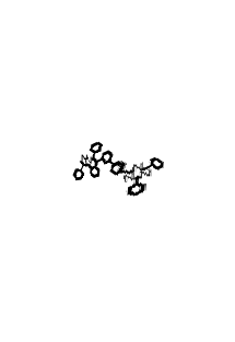 c1ccc(-c2nc(-c3ccccc3)nc(-c3ccc(-c4cccc(-c5c(-c6ccccc6)n6ncc(-c7ccccc7)c6c6ccccc56)c4)cc3)n2)cc1